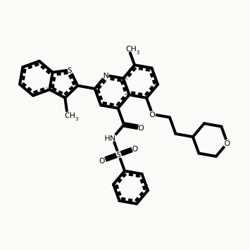 Cc1c(-c2cc(C(=O)NS(=O)(=O)c3ccccc3)c3c(OCCC4CCOCC4)ccc(C)c3n2)sc2ccccc12